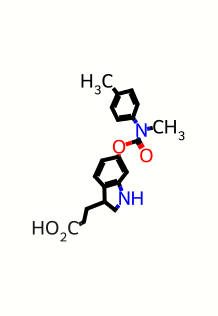 Cc1ccc(N(C)C(=O)Oc2ccc3c(c2)NCC3CCC(=O)O)cc1